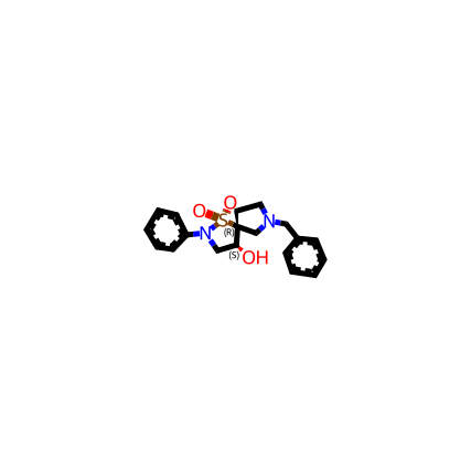 O=S1(=O)N(c2ccccc2)C[C@H](O)[C@]12CCN(Cc1ccccc1)C2